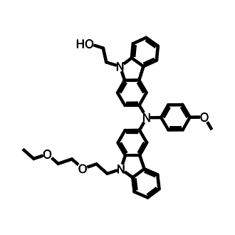 CCOCCOCCn1c2ccccc2c2cc(N(c3ccc(OC)cc3)c3ccc4c(c3)c3ccccc3n4CCO)ccc21